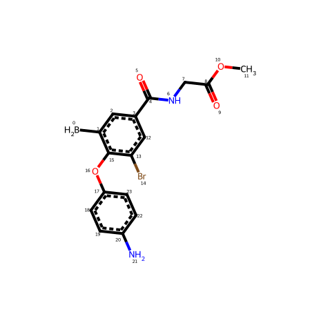 Bc1cc(C(=O)NCC(=O)OC)cc(Br)c1Oc1ccc(N)cc1